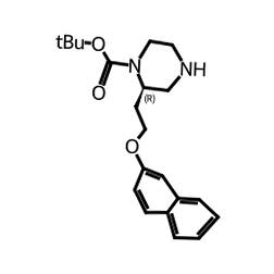 CC(C)(C)OC(=O)N1CCNC[C@H]1CCOc1ccc2ccccc2c1